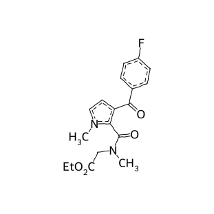 CCOC(=O)CN(C)C(=O)c1c(C(=O)c2ccc(F)cc2)ccn1C